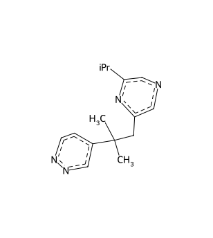 CC(C)c1cncc(CC(C)(C)c2ccnnc2)n1